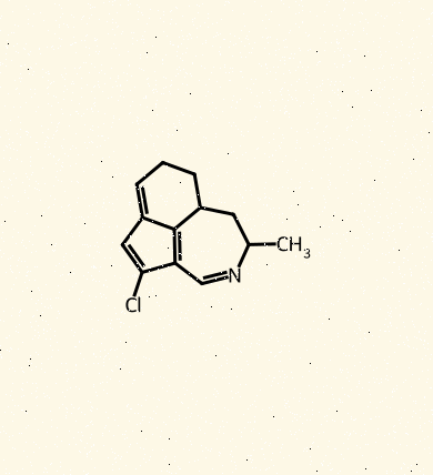 CC1CC2CCC=C3C=C(Cl)C(=C32)C=N1